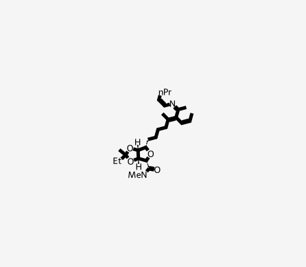 C\C=C/C(C(/C)=N\C=C/CCC)=C(/C)CCCC[C@@H]1O[C@H](C(=O)NC)[C@H]2OC(C)(CC)O[C@H]21